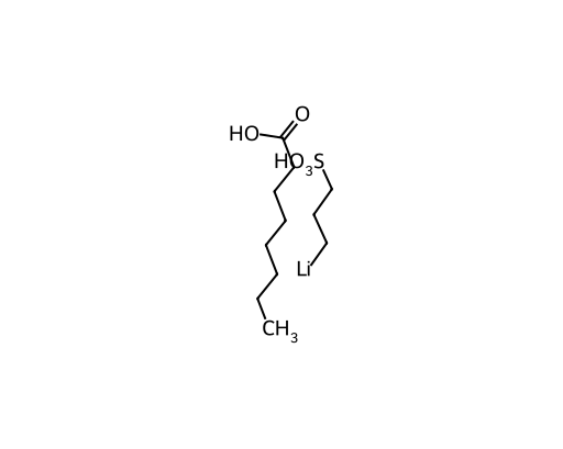 CCCCCCCC(=O)O.[Li][CH2]CCS(=O)(=O)O